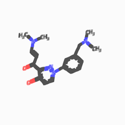 CN(C)C=CC(=O)c1nn(-c2cccc(CN(C)C)c2)ccc1=O